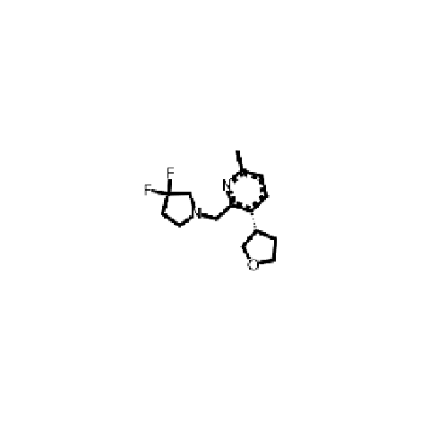 Cc1ccc([C@@H]2CCOC2)c(CN2CCC(F)(F)C2)n1